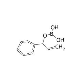 C=CC(OB(O)O)c1ccccc1